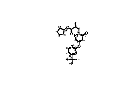 CC(Cn1ncc(Oc2nccc(C(F)(F)F)n2)cc1=O)C(=O)OC1CCCC1